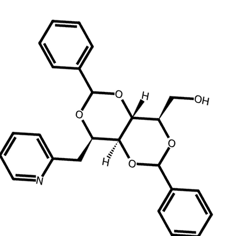 OC[C@H]1OC(c2ccccc2)O[C@@H]2[C@@H]1OC(c1ccccc1)O[C@@H]2Cc1ccccn1